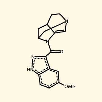 COc1ccc2[nH]nc(C(=O)N3C4=CN5CCC4CC3C5)c2c1